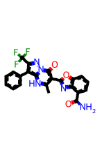 Cc1[nH]c2c(-c3ccccc3)c(C(F)(F)F)nn2c(=O)c1-c1nc2c(C(N)=O)cccc2o1